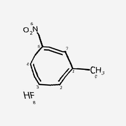 Cc1cccc([N+](=O)[O-])c1.F